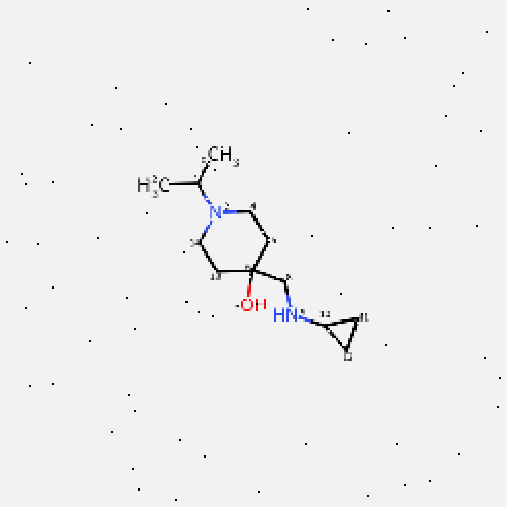 CC(C)N1CCC(O)(CNC2CC2)CC1